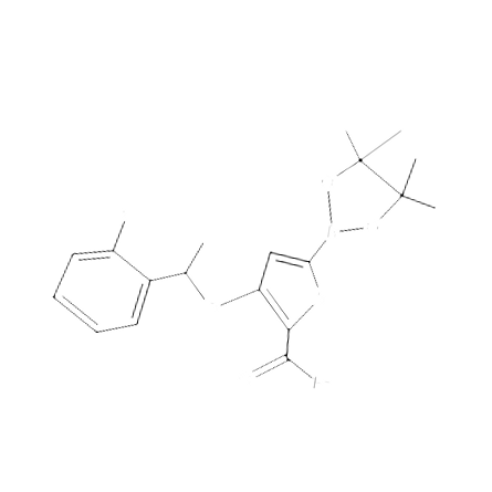 CCC(=O)c1sc(B2OC(C)(C)C(C)(C)O2)cc1OC(C)c1ccccc1Cl